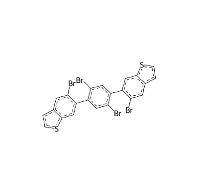 Brc1cc(-c2cc3sccc3cc2Br)c(Br)cc1-c1cc2sccc2cc1Br